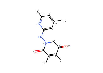 CC1=C(C)C(=O)N(Nc2cc(C(F)(F)F)cc(C)n2)CC1=O